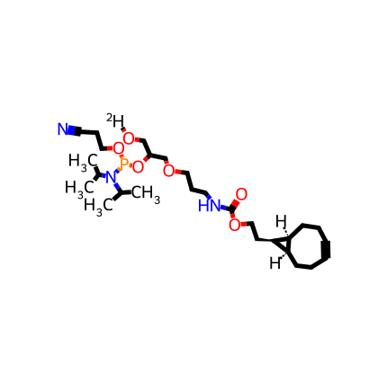 [2H]OCC(COCCCNC(=O)OCC[C@@H]1[C@@H]2CCC#CCC[C@@H]21)OP(OCCC#N)N(C(C)C)C(C)C